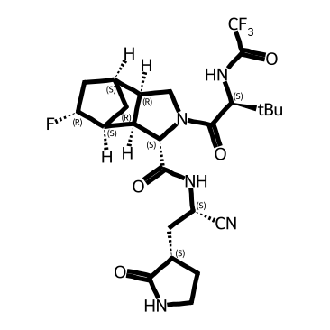 CC(C)(C)[C@H](NC(=O)C(F)(F)F)C(=O)N1C[C@@H]2[C@H]3C[C@@H]([C@@H]2[C@H]1C(=O)N[C@H](C#N)C[C@@H]1CCNC1=O)[C@H](F)C3